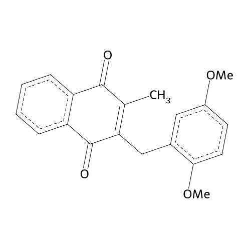 COc1ccc(OC)c(CC2=C(C)C(=O)c3ccccc3C2=O)c1